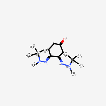 CN(N=C1CCC(=O)CC1=NN(C)[Si](C)(C)C)[Si](C)(C)C